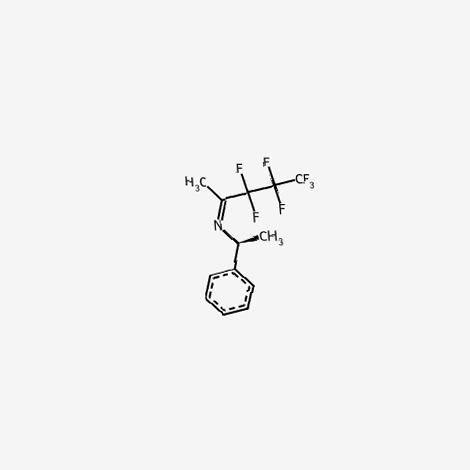 CC(=N[C@@H](C)c1ccccc1)C(F)(F)C(F)(F)C(F)(F)F